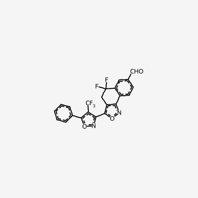 O=Cc1ccc2c(c1)C(F)(F)Cc1c-2noc1-c1noc(-c2ccccc2)c1C(F)(F)F